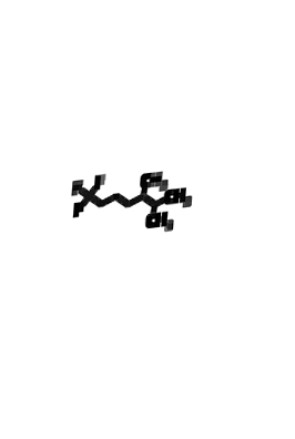 CC(C)C(C)CCCC(F)(F)F